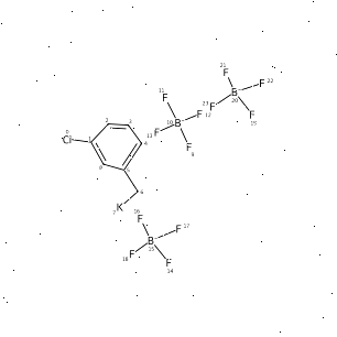 Clc1cccc([CH2][K])c1.F[B-](F)(F)F.F[B-](F)(F)F.F[B-](F)(F)F